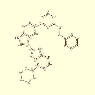 c1ccc(COc2cncc(-c3ccc4[nH]nc(-c5cc6c(N7CCCCC7)cccc6[nH]5)c4c3)c2)cc1